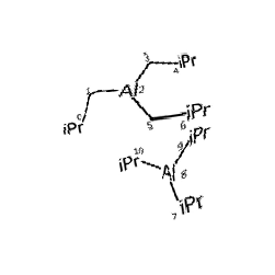 CC(C)[CH2][Al]([CH2]C(C)C)[CH2]C(C)C.C[CH](C)[Al]([CH](C)C)[CH](C)C